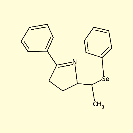 CC([Se]c1ccccc1)C1CCC(c2ccccc2)=N1